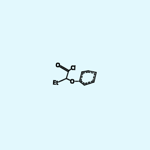 CCC(Oc1ccccc1)C(=O)Cl